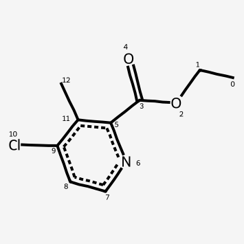 CCOC(=O)c1nccc(Cl)c1C